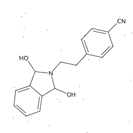 N#Cc1ccc(CCN2C(O)c3ccccc3C2O)cc1